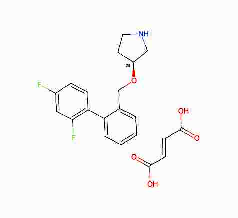 Fc1ccc(-c2ccccc2CO[C@H]2CCNC2)c(F)c1.O=C(O)C=CC(=O)O